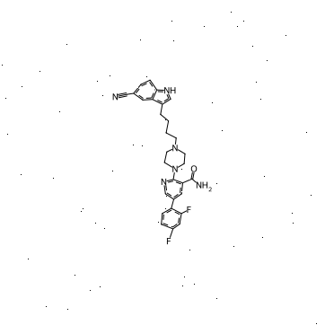 N#Cc1ccc2[nH]cc(CCCCN3CCN(c4ncc(-c5ccc(F)cc5F)cc4C(N)=O)CC3)c2c1